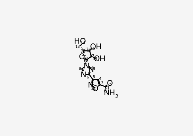 NC(=O)c1cc(-c2ncn([C@@H]3O[C@H](CO)C(O)[C@@H]3O)n2)no1